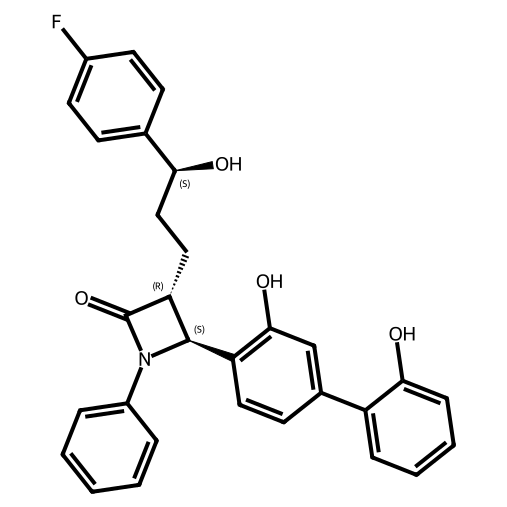 O=C1[C@H](CC[C@H](O)c2ccc(F)cc2)[C@@H](c2ccc(-c3ccccc3O)cc2O)N1c1ccccc1